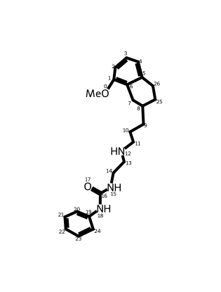 COc1cccc2c1CC(CCCNCCNC(=O)Nc1ccccc1)CC2